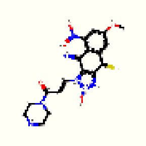 COc1cc2c(c([N+](=O)[O-])c1)C(=N)c1c(n[n+]([O-])n1/C=C/C(=O)N1CCNCC1)C2=S